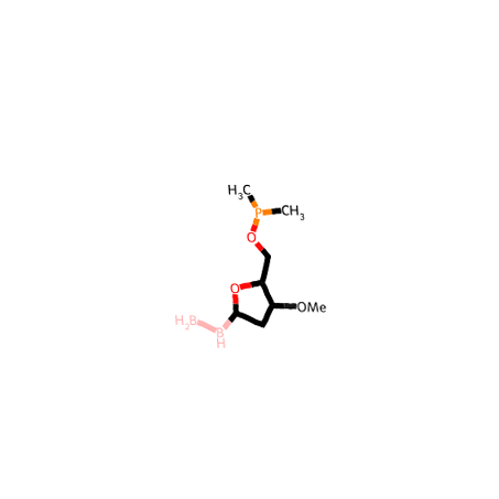 BBC1CC(OC)C(COP(C)C)O1